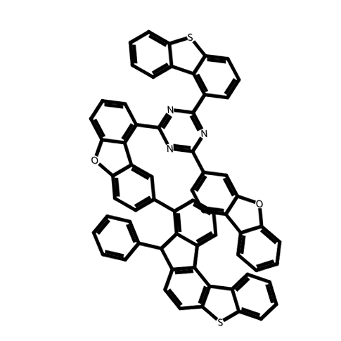 c1ccc(C2c3ccc4sc5ccccc5c4c3-c3cccc(-c4ccc5oc6cccc(-c7nc(-c8ccc9c(c8)oc8ccccc89)nc(-c8cccc9sc%10ccccc%10c89)n7)c6c5c4)c32)cc1